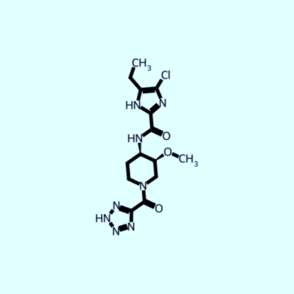 CCc1[nH]c(C(=O)N[C@@H]2CCN(C(=O)c3nn[nH]n3)C[C@@H]2OC)nc1Cl